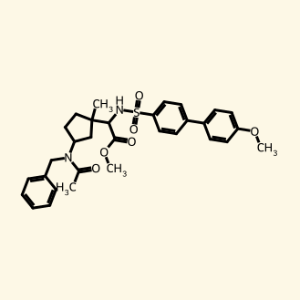 COC(=O)C(NS(=O)(=O)c1ccc(-c2ccc(OC)cc2)cc1)C1(C)CCC(N(Cc2ccccc2)C(C)=O)C1